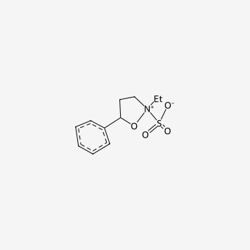 CC[N+]1(S(=O)(=O)[O-])CCC(c2ccccc2)O1